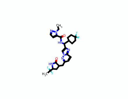 CCn1nccc1C(=O)NC(c1cn2nc(CC3CC(C(C)(F)F)NC3=O)ccc2n1)C1CCC(F)(F)CC1